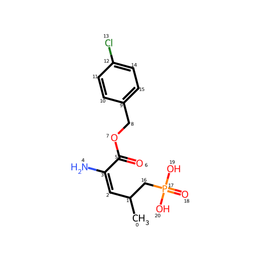 CC(/C=C(/N)C(=O)OCc1ccc(Cl)cc1)CP(=O)(O)O